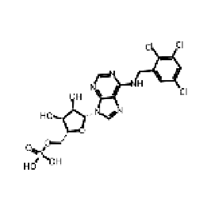 O=P(O)(O)OC[C@H]1O[C@@H](n2cnc3c(NCc4cc(Cl)cc(Cl)c4Cl)ncnc32)[C@H](O)[C@@H]1O